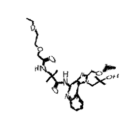 CCOCCOCC(=O)NC(C)(C)C(=O)Nc1nc2ccccc2c2c1nc(COCC)n2CC(C)(C)O